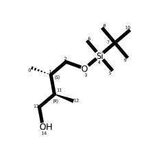 C[C@H](CO[Si](C)(C)C(C)(C)C)[C@@H](C)CO